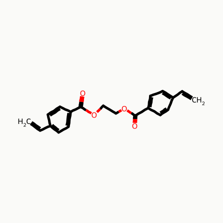 C=Cc1ccc(C(=O)OCCOC(=O)c2ccc(C=C)cc2)cc1